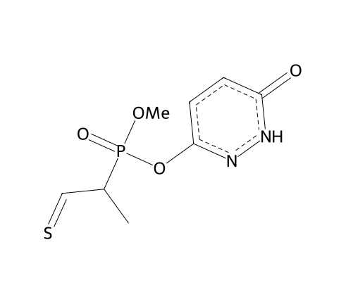 COP(=O)(Oc1ccc(=O)[nH]n1)C(C)C=S